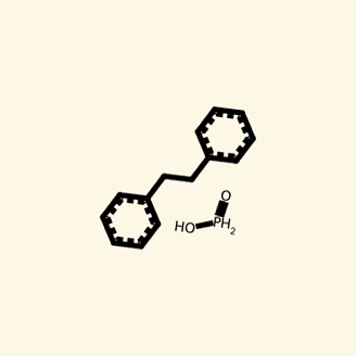 O=[PH2]O.c1ccc(CCc2ccccc2)cc1